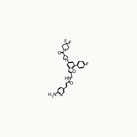 Nc1ccc(/C=C/C(=O)NCc2cc3cc(N4CC(C(=O)N5CCC(F)(F)CC5)C4)cc(-c4ccc(F)cc4)c3o2)cn1